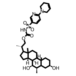 C[C@H](COC(=O)NS(=O)(=O)c1ccc(N2CC=CCC2)nc1)C1CC[C@H]2[C@@H]3[C@H](O)[C@H](C)C4C[C@H](O)CCC4(C)[C@H]3CCC12C